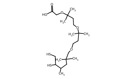 CC(CC(C)(C)COCCC(C)(C)OCCC(C)(C)OCC(=O)O)C(S)CS